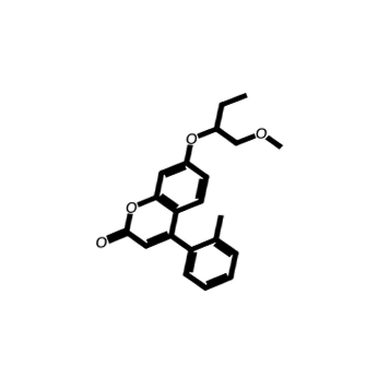 CCC(COC)Oc1ccc2c(-c3ccccc3C)cc(=O)oc2c1